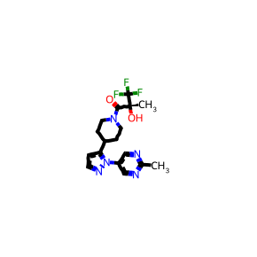 Cc1ncc(-n2nccc2C2CCN(C(=O)[C@@](C)(O)C(F)(F)F)CC2)cn1